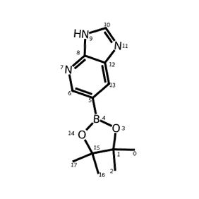 CC1(C)OB(c2cnc3[nH]cnc3c2)OC1(C)C